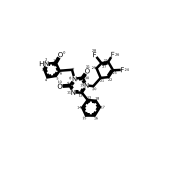 O=c1[nH]cccc1Cn1c(=O)nc(-c2ccccc2)n(CC2C=C(F)C(F)=C(F)C2)c1=O